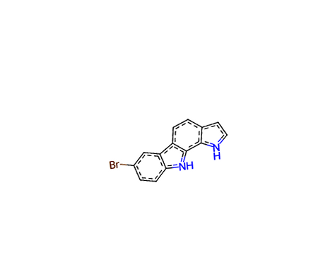 Brc1ccc2[nH]c3c(ccc4cc[nH]c43)c2c1